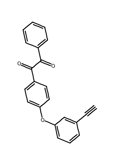 C#Cc1cccc(Oc2ccc(C(=O)C(=O)c3ccccc3)cc2)c1